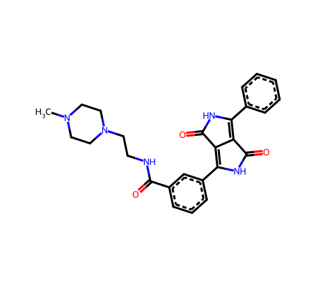 CN1CCN(CCNC(=O)c2cccc(C3=C4C(=O)NC(c5ccccc5)=C4C(=O)N3)c2)CC1